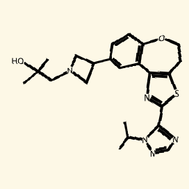 CC(C)n1ncnc1-c1nc2c(s1)CCOc1ccc(C3CN(CC(C)(C)O)C3)cc1-2